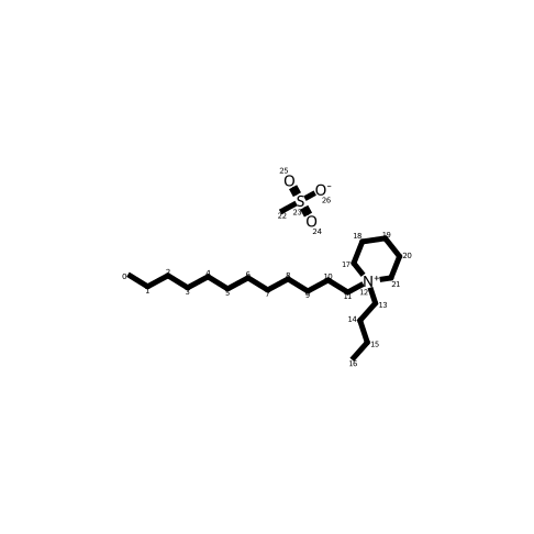 CCCCCCCCCCCC[N+]1(CCCC)CCCCC1.CS(=O)(=O)[O-]